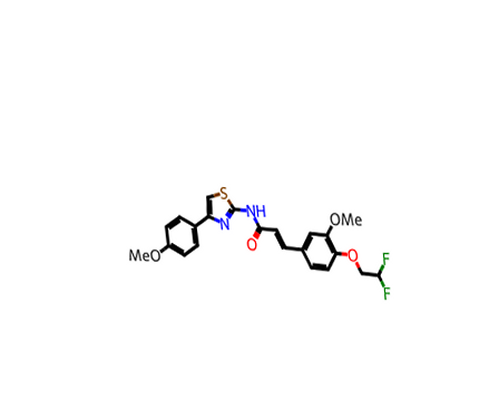 COc1ccc(-c2csc(NC(=O)/C=C/c3ccc(OCC(F)F)c(OC)c3)n2)cc1